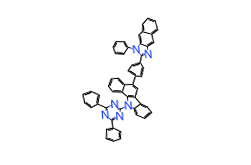 c1ccc(-c2nc(-c3ccccc3)nc(-n3c4ccccc4c4cc(-c5ccc(-c6nc7cc8ccccc8cc7n6-c6ccccc6)cc5)c5ccccc5c43)n2)cc1